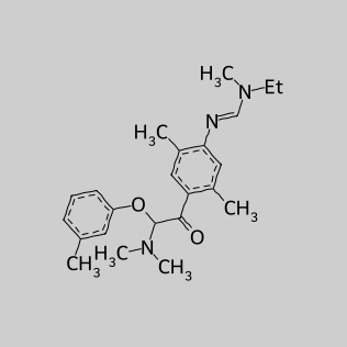 CCN(C)C=Nc1cc(C)c(C(=O)C(Oc2cccc(C)c2)N(C)C)cc1C